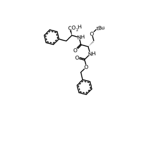 CC(C)(C)OC[C@H](NC(=O)OCc1ccccc1)C(=O)N[C@@H](Cc1ccccc1)C(=O)O